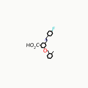 Cc1ccccc1COc1cc(/C=C/c2ccc(F)cc2)cc(C(=O)O)c1